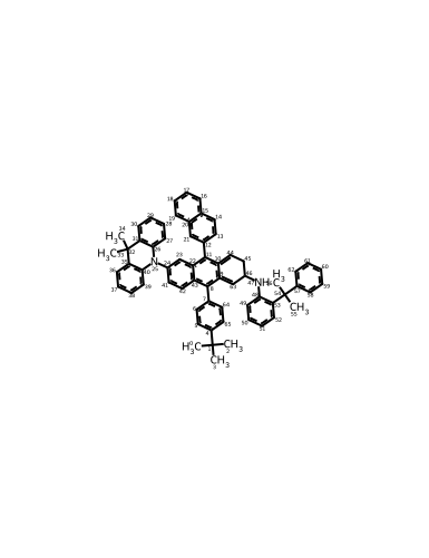 CC(C)(C)c1ccc(-c2c3c(c(-c4ccc5ccccc5c4)c4cc(N5c6ccccc6C(C)(C)c6ccccc65)ccc24)=CCC(Nc2ccccc2C(C)(C)c2ccccc2)C=3)cc1